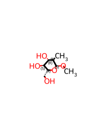 CO[C@H]1O[C@H](CO)[C@@H](O)[C@H](O)[C@H]1C